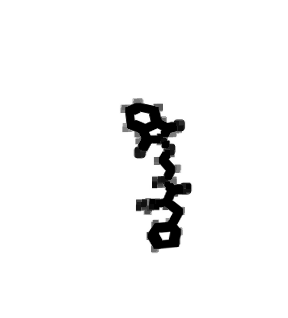 NC(Cc1ccccc1)C(=O)NCCON1C(=O)c2ccccc2C1=O